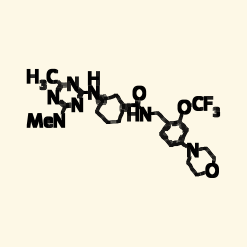 CNc1nc(C)nc(N[C@@H]2CCC[C@H](C(=O)NCc3ccc(N4CCOCC4)cc3OC(F)(F)F)C2)n1